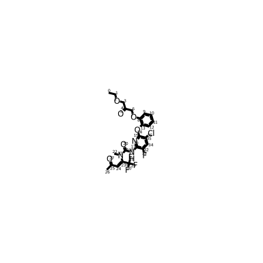 CCOCC(=O)COc1ccccc1Oc1nc(NC(=O)N(C)/C(=C\C(C)=O)C(F)(F)F)c(F)cc1Cl